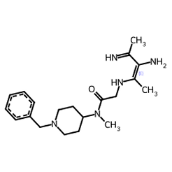 CC(=N)/C(N)=C(/C)NCC(=O)N(C)C1CCN(Cc2ccccc2)CC1